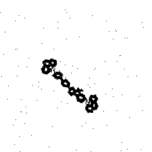 CC1(C)c2cc(-c3ccc(-c4ccc(-n5c6cccc7ccc8cccc5c8c76)cc4)cc3)ccc2-c2ccc(-n3c4cccc5ccc6cccc3c6c54)cc21